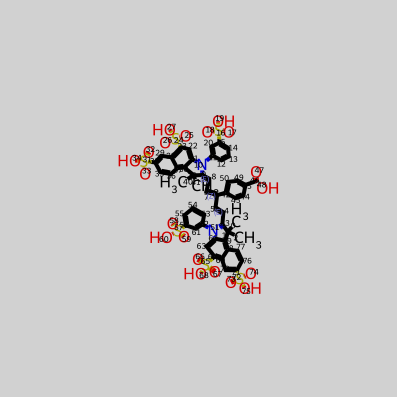 CC1(C)C(/C=C/C(=C/C=C2/N(c3cccc(S(=O)(=O)O)c3)c3cc(S(=O)(=O)O)c4cc(S(=O)(=O)O)ccc4c3C2(C)C)c2ccc(C(=O)O)cc2)=[N+](c2cccc(S(=O)(=O)O)c2)c2cc(S(=O)(=O)O)c3cc(S(=O)(=O)O)ccc3c21